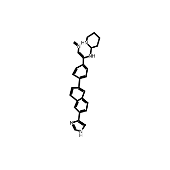 C=N/C=C(\NC1CCCCN1)c1ccc(-c2ccc3cc(-c4c[nH]cn4)ccc3c2)cc1